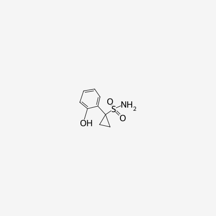 NS(=O)(=O)C1(c2ccccc2O)CC1